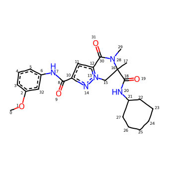 COc1cccc(NC(=O)c2cc3n(n2)CC(C)(C(=O)NC2CCCCCC2)N(C)C3=O)c1